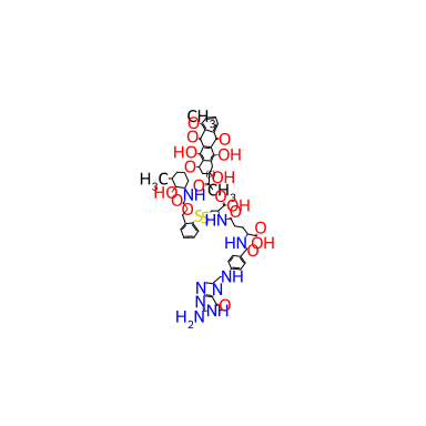 COc1cccc2c1C(=O)c1c(O)c3c(c(O)c1C2=O)C[C@@](O)(C(C)=O)CC3OC1CC(C)C(O)C(NC(=O)OCc2ccccc2SSCC(NC(=O)CCC(NC(=O)c2ccc(NCc3cnc4nc(N)[nH]c(=O)c4n3)cc2)C(=O)O)C(=O)O)C1